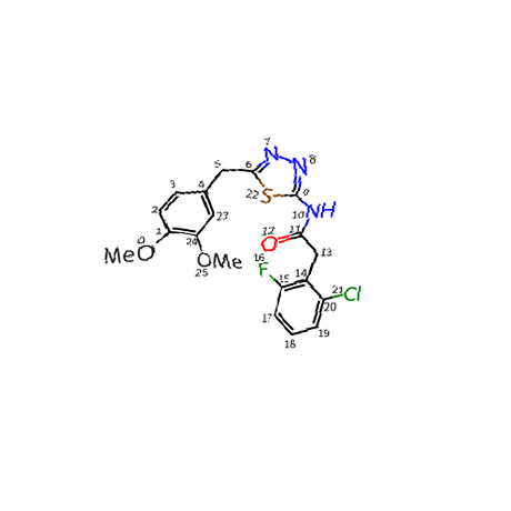 COc1ccc(Cc2nnc(NC(=O)Cc3c(F)cccc3Cl)s2)cc1OC